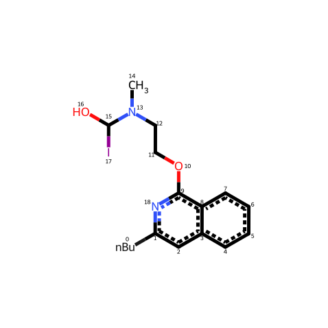 CCCCc1cc2ccccc2c(OCCN(C)C(O)I)n1